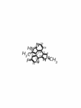 Cc1cc2c(-c3cn(C)nc3-c3ccc(F)cn3)ccnc2[nH]1